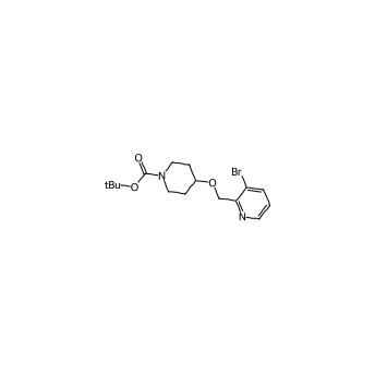 CC(C)(C)OC(=O)N1CCC(OCc2ncccc2Br)CC1